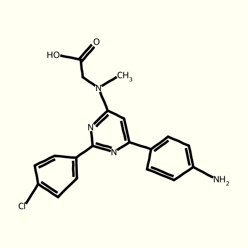 CN(CC(=O)O)c1cc(-c2ccc(N)cc2)nc(-c2ccc(Cl)cc2)n1